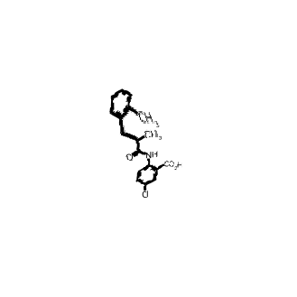 CC(=Cc1ccccc1C)C(=O)Nc1ccc(Cl)cc1C(=O)O